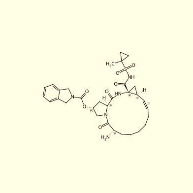 CC1(S(=O)(=O)NC(=O)[C@@]23C[C@H]2/C=C\CCCCC[C@H](N)C(=O)N2C[C@H](OC(=O)N4Cc5ccccc5C4)C[C@H]2C(=O)N3)CC1